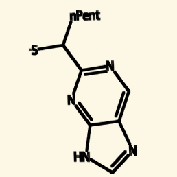 CCCCCC([S])c1ncc2nc[nH]c2n1